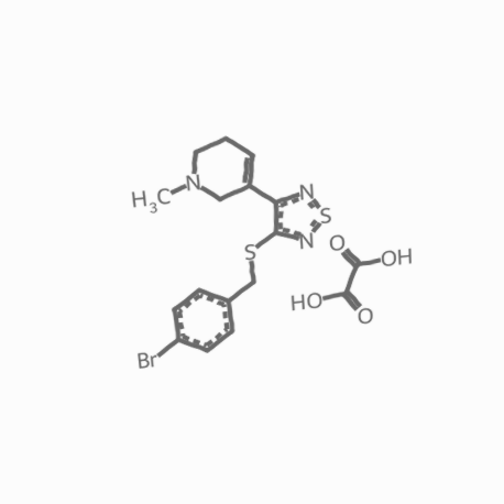 CN1CCC=C(c2nsnc2SCc2ccc(Br)cc2)C1.O=C(O)C(=O)O